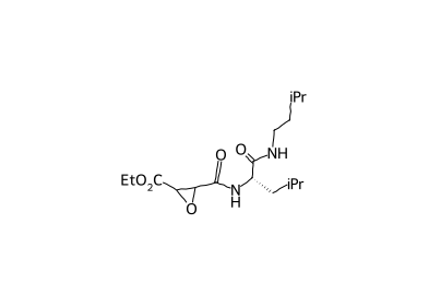 CCOC(=O)C1OC1C(=O)N[C@@H](CC(C)C)C(=O)NCCC(C)C